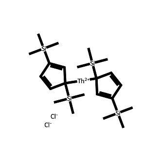 C[Si](C)(C)C1=C[C]([Th+2][C]2([Si](C)(C)C)C=CC([Si](C)(C)C)=C2)([Si](C)(C)C)C=C1.[Cl-].[Cl-]